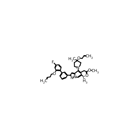 C=CCCOc1cc(F)ccc1-c1cccc(-c2cc3c(N4CCC(C)(OCC=C)CC4)c(CC(=O)OC)c(C)cn3n2)c1